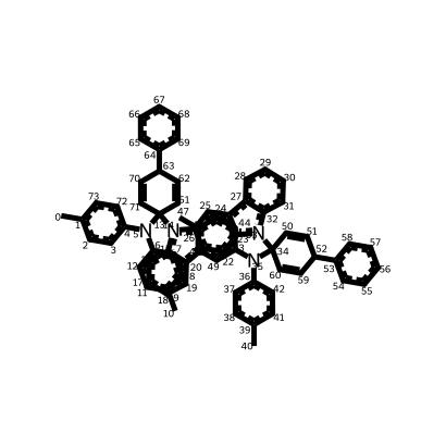 Cc1ccc(N(c2ccc(C)cc2)C2(n3c4ccccc4c4cc5c(cc43)c3ccccc3n5C3(N(c4ccc(C)cc4)c4ccc(C)cc4)C=CC(c4ccccc4)C=C3)C=CC(c3ccccc3)C=C2)cc1